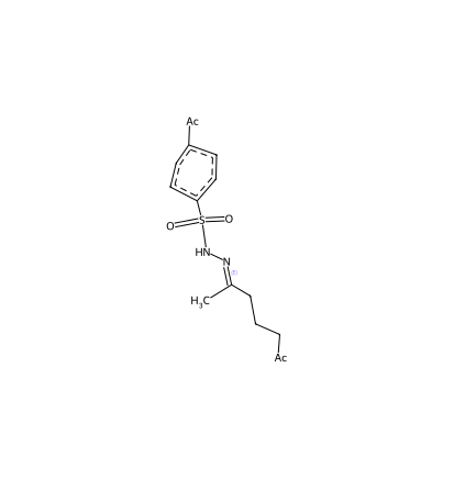 CC(=O)CCC/C(C)=N/NS(=O)(=O)c1ccc(C(C)=O)cc1